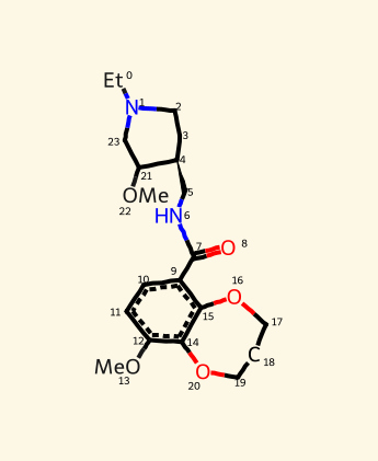 CCN1CC[C@@H](CNC(=O)c2ccc(OC)c3c2OCCCO3)C(OC)C1